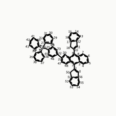 C1=C(c2c3ccccc3c(C3=Cc4ccccc4C3)c3cc(-c4ccc([Si](c5ccccc5)(c5ccccc5)c5ccccc5)cc4)ccc23)Cc2ccccc21